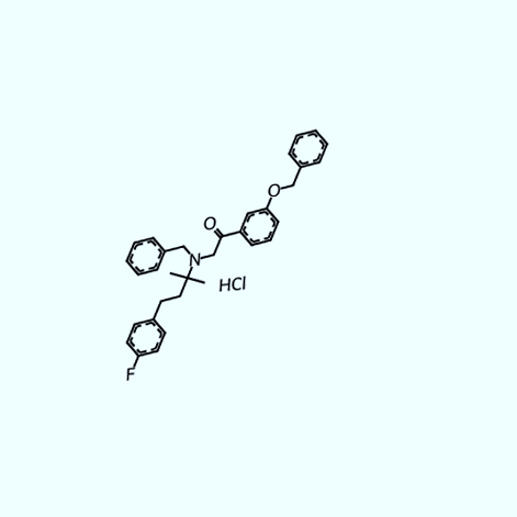 CC(C)(CCc1ccc(F)cc1)N(CC(=O)c1cccc(OCc2ccccc2)c1)Cc1ccccc1.Cl